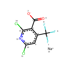 O=C([O-])c1c(C(F)(F)F)cc(Cl)nc1Cl.[Na+]